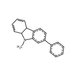 CN1c2cc(-c3ccccc3)ccc2C2C=CC=CC21